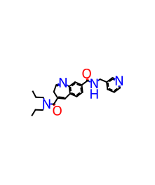 CCCN(CCC)C(=O)C1=Cc2ccc(C(=O)NCc3cccnc3)cc2N=CC1